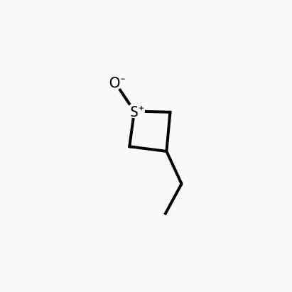 CCC1C[S+]([O-])C1